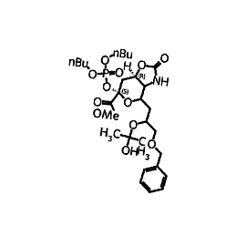 CCCCOP(=O)(OCCCC)O[C@]1(C(=O)OC)C[C@H]2OC(=O)NC2C(CC(COCc2ccccc2)OC(C)(C)O)O1